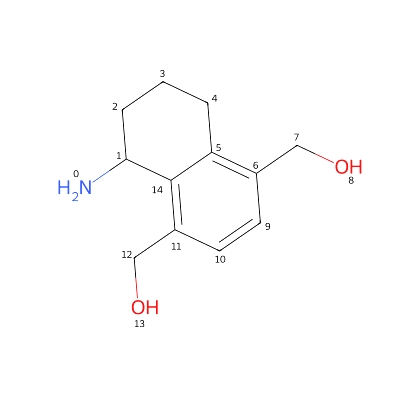 NC1CCCc2c(CO)ccc(CO)c21